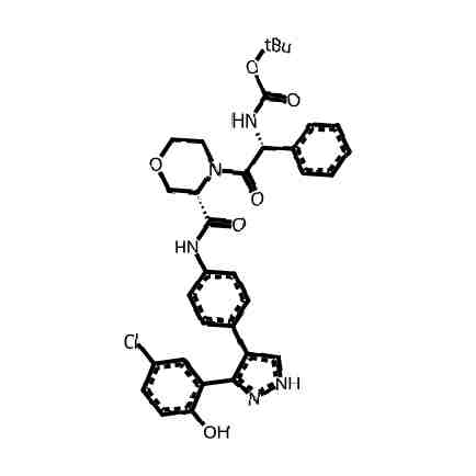 CC(C)(C)OC(=O)N[C@@H](C(=O)N1CCOC[C@H]1C(=O)Nc1ccc(-c2c[nH]nc2-c2cc(Cl)ccc2O)cc1)c1ccccc1